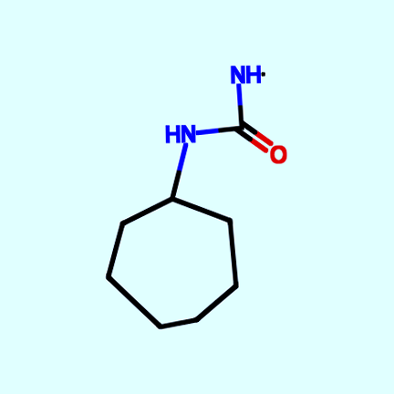 [NH]C(=O)NC1CCCCCC1